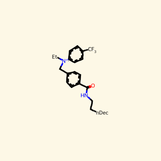 CCCCCCCCCCCCNC(=O)c1ccc(C[N+](CC)c2ccc(C(F)(F)F)cc2)cc1